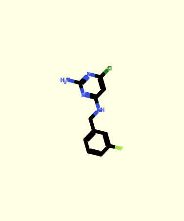 Nc1nc(Cl)cc(NCc2cccc(F)c2)n1